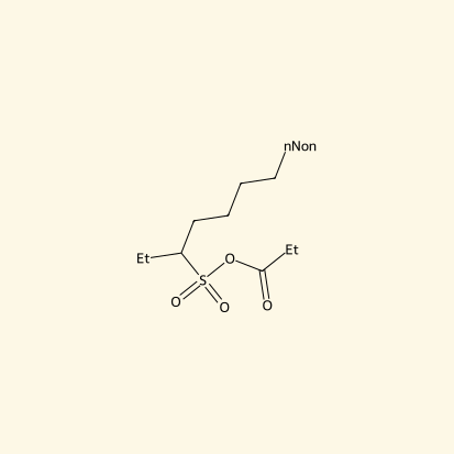 CCCCCCCCCCCCCC(CC)S(=O)(=O)OC(=O)CC